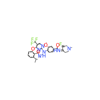 COc1cc(C(=O)N[C@H]2CCN(C)C[C@H]2F)ccc1Nc1ncc(C(F)(F)F)c(Oc2cccc(C(C)C)c2C(=O)N(C)C)n1